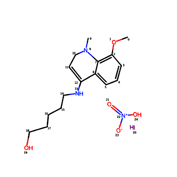 COc1cccc2c1N(C)CC=C2NCCCCCO.I.O=[N+]([O-])O